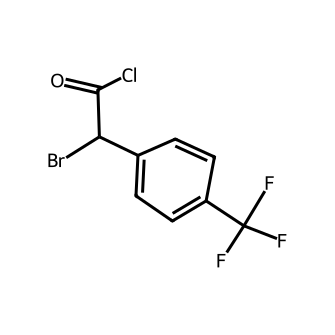 O=C(Cl)C(Br)c1ccc(C(F)(F)F)cc1